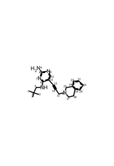 CC(C)(C)CNc1nc(N)ncc1C#CCN1CCc2ccccc2C1